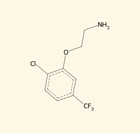 NCCOc1cc(C(F)(F)F)ccc1Cl